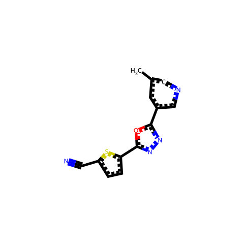 Cc1cncc(-c2nnc(-c3ccc(C#N)s3)o2)c1